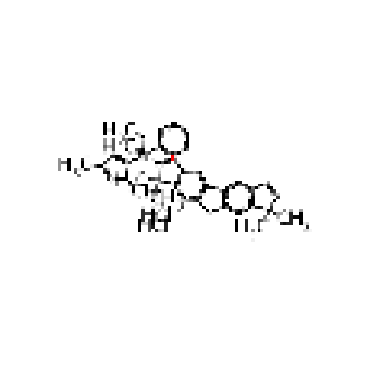 Cl.Cl.[CH2]=[Zr]([CH2]C)([C]1=CC(C)=CC1C)([C]1=Cc2cc3c(cc2C1(C)C)Cc1cc2c(cc1-3)C=CC2(C)C)[c]1ccccc1